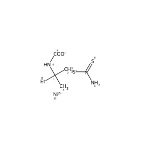 CCC(C)(C)NC(=O)[O-].NC(=S)[S-].[Ni+2]